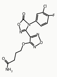 NC(=O)CCCOc1nonc1-c1noc(=O)n1-c1ccc(F)c(Cl)c1